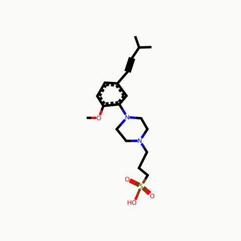 COc1ccc(C#CC(C)C)cc1N1CCN(CCCS(=O)(=O)O)CC1